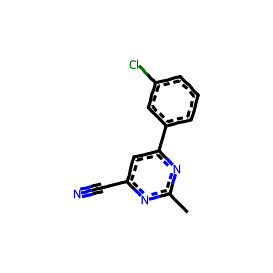 Cc1nc(C#N)cc(-c2cccc(Cl)c2)n1